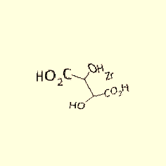 O=C(O)C(O)C(O)C(=O)O.[Zr]